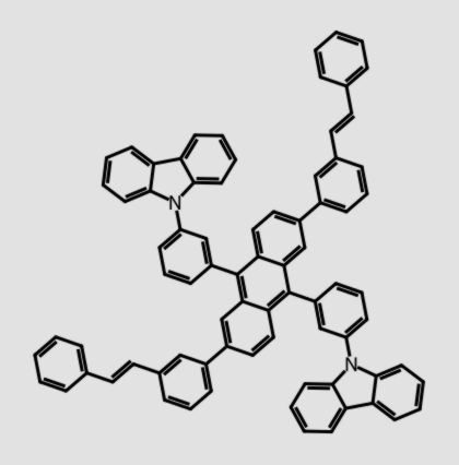 C(=C\c1cccc(-c2ccc3c(-c4cccc(-n5c6ccccc6c6ccccc65)c4)c4cc(-c5cccc(/C=C/c6ccccc6)c5)ccc4c(-c4cccc(-n5c6ccccc6c6ccccc65)c4)c3c2)c1)/c1ccccc1